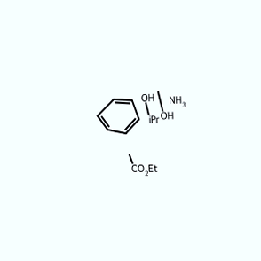 CC(C)O.CCOC(C)=O.CO.N.c1ccccc1